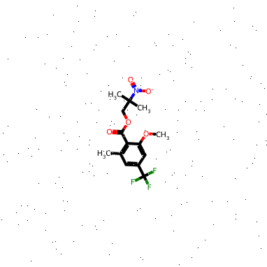 COc1cc(C(F)(F)F)cc(C)c1C(=O)OCC(C)(C)[N+](=O)[O-]